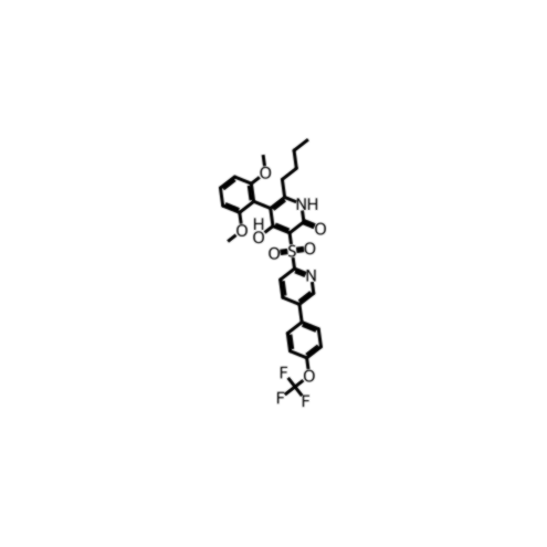 CCCCc1[nH]c(=O)c(S(=O)(=O)c2ccc(-c3ccc(OC(F)(F)F)cc3)cn2)c(O)c1-c1c(OC)cccc1OC